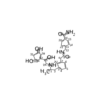 C[C@H](Cc1cccc(CC(=O)NCc2ccc(C(N)=O)cc2)c1)NC[C@H](O)c1cc(O)cc(O)c1